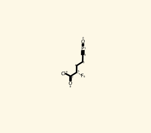 O=P#CCC[C@H](F)C(=O)Cl